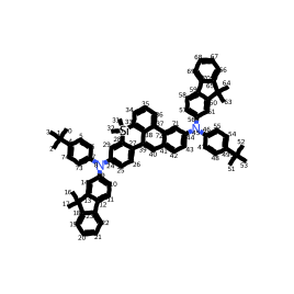 CC(C)(C)c1ccc(N(c2ccc3c(c2)C(C)(C)c2ccccc2-3)c2ccc3c(c2)[Si](C)(C)c2cccc4c2c-3cc2ccc(N(c3ccc(C(C)(C)C)cc3)c3ccc5c(c3)C(C)(C)c3ccccc3-5)cc24)cc1